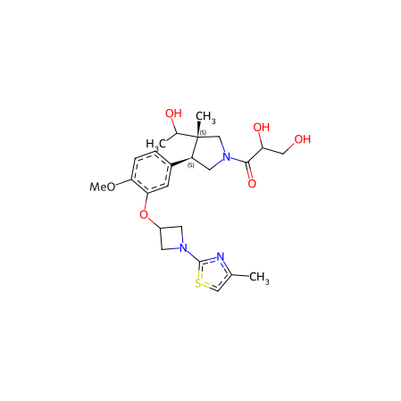 COc1ccc([C@@H]2CN(C(=O)C(O)CO)C[C@@]2(C)C(C)O)cc1OC1CN(c2nc(C)cs2)C1